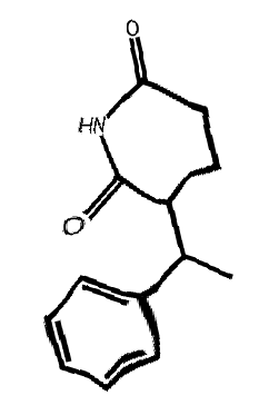 CC(c1ccccc1)C1CCC(=O)NC1=O